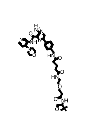 CC(C)(C)C(C=O)NC(=O)CCOCCNC(=O)CCCC(=O)NCc1ccc(-c2cnc(N)c(C(=O)Nc3cnccc3N3CCOCC3)n2)cc1